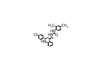 Cc1ccc(NC(=O)NN=C2CC(c3ccc(Cl)cc3)Nc3ccccc32)c(C)c1